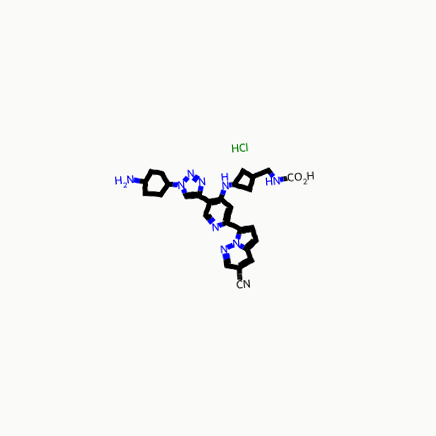 Cl.N#Cc1cnn2c(-c3cc(NC4CC(CNC(=O)O)C4)c(-c4cn(C5CCC(N)CC5)nn4)cn3)ccc2c1